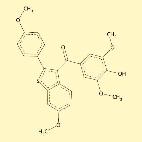 COc1ccc(-c2sc3cc(OC)ccc3c2C(=O)c2cc(OC)c(O)c(OC)c2)cc1